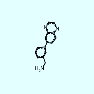 NCc1cccc(-c2ccc3nccnc3c2)c1